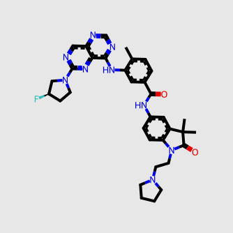 Cc1ccc(C(=O)Nc2ccc3c(c2)C(C)(C)C(=O)N3CCN2CCCC2)cc1Nc1ncnc2cnc(N3CC[C@@H](F)C3)nc12